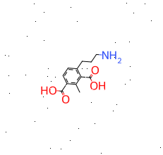 Cc1c(C(=O)O)ccc(CCCN)c1C(=O)O